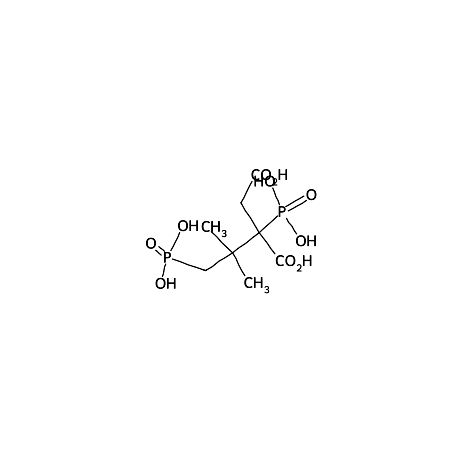 CC(C)(CP(=O)(O)O)C(CC(=O)O)(C(=O)O)P(=O)(O)O